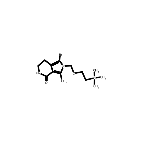 Cc1c2c(c(Br)n1COCC[Si](C)(C)C)CCNC2=O